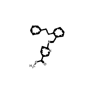 COC(=O)c1ccc(N=Cc2ccccc2CCc2ccccc2)nc1